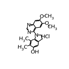 COc1cc2ncnc(N3CCc4cc(O)c(C)c(C)c43)c2cc1OC.Cl